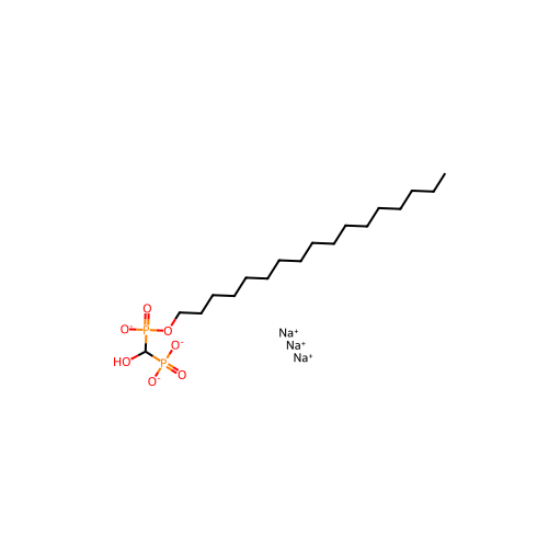 CCCCCCCCCCCCCCCCCOP(=O)([O-])C(O)P(=O)([O-])[O-].[Na+].[Na+].[Na+]